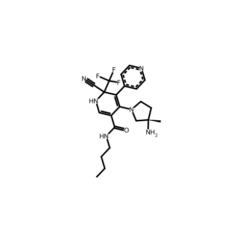 CCCCNC(=O)C1=CNC(C#N)(C(F)(F)F)C(c2ccncc2)=C1N1CC[C@](C)(N)C1